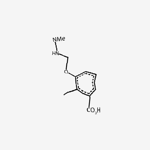 CNNCOc1cccc(C(=O)O)c1C